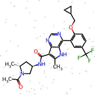 CC(=O)N1C[C@H](NC(=O)c2c(C)[nH]c3c(-c4cc(C(F)(F)F)ccc4OCC4CC4)ncnc23)C[C@H]1C